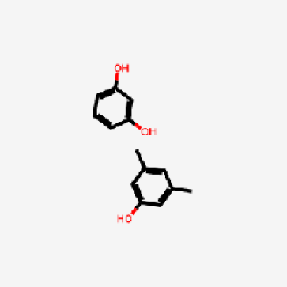 Cc1cc(C)cc(O)c1.Oc1cccc(O)c1